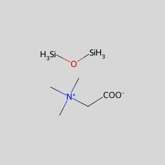 C[N+](C)(C)CC(=O)[O-].[SiH3]O[SiH3]